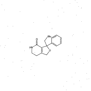 CC(C)(C)CC1(c2ccccc2)OCC2=C1C(=O)NCC2